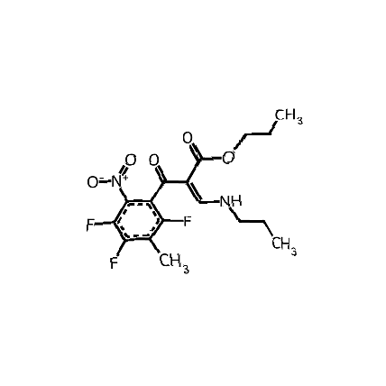 CCCNC=C(C(=O)OCCC)C(=O)c1c(F)c(C)c(F)c(F)c1[N+](=O)[O-]